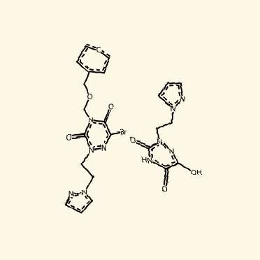 O=c1[nH]c(=O)n(CCn2cccn2)nc1O.O=c1c(Br)nn(CCn2cccn2)c(=O)n1COCc1ccccc1